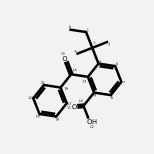 CCC(C)(C)c1cccc(C(=O)O)c1C(=O)c1ccccc1